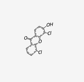 O=c1c2cccc(Cl)c2oc2c(Cl)c(O)ccc12